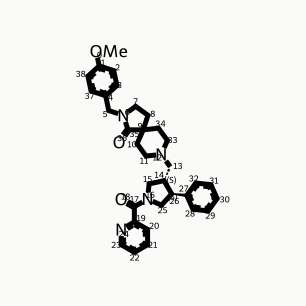 COc1ccc(CN2CCC3(CCN(C[C@H]4CN(C(=O)c5ccccn5)C[C@@H]4c4ccccc4)CC3)C2=O)cc1